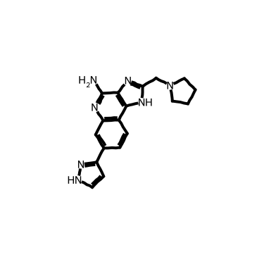 Nc1nc2cc(-c3cc[nH]n3)ccc2c2[nH]c(CN3CCCC3)nc12